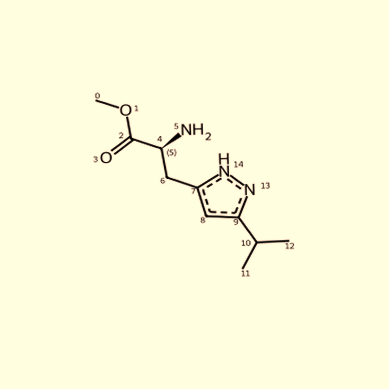 COC(=O)[C@@H](N)Cc1cc(C(C)C)n[nH]1